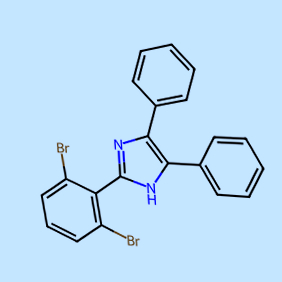 Brc1cccc(Br)c1-c1nc(-c2ccccc2)c(-c2ccccc2)[nH]1